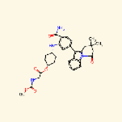 CC1(C)CC(=O)n2c(c(-c3ccc(C(N)=O)c(N[C@H]4CC[C@H](OC(=O)CNC(=O)OC(C)(C)C)CC4)c3)c3ccccc32)C1